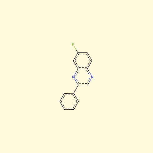 Fc1ccc2ncc(-c3ccccc3)nc2c1